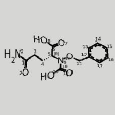 NC(=O)CC[C@H](C(=O)O)N(OCc1ccccc1)C(=O)O